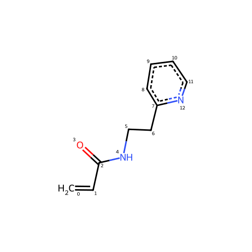 C=CC(=O)NCCc1ccccn1